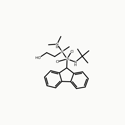 C[SiH](C)[Si](C)(CCO)[Zr]([Cl])([Cl])([NH]C(C)(C)C)[CH]1c2ccccc2-c2ccccc21